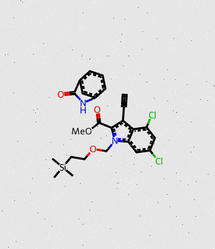 C#Cc1c(C(=O)OC)n(COCC[Si](C)(C)C)c2cc(Cl)cc(Cl)c12.O=C1Nc2cccc1c2